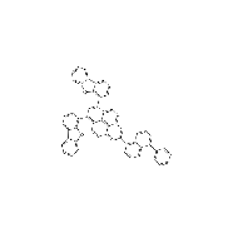 c1ccc(-c2cccc3c(-c4cc5ccc6c(-c7cccc8c7oc7ccccc78)cc(-c7cccc8c7oc7ccccc78)c7ccc(c4)c5c67)cccc23)cc1